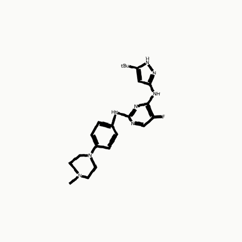 CN1CCN(c2ccc(Nc3ncc(F)c(Nc4cc(C(C)(C)C)[nH]n4)n3)cc2)CC1